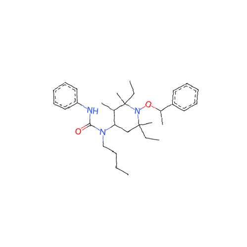 CCCCN(C(=O)Nc1ccccc1)C1CC(C)(CC)N(OC(C)c2ccccc2)C(C)(CC)C1C